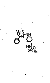 CS/C(=N\C(=O)c1ccccc1)N[C@H]1CC[C@H](CNS(=O)(=O)C(C)(C)C)CC1